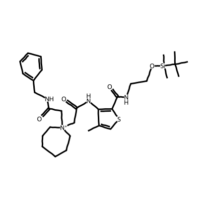 Cc1csc(C(=O)NCCO[Si](C)(C)C(C)(C)C)c1NC(=O)C[N+]1(CC(=O)NCc2ccccc2)CCCCCC1